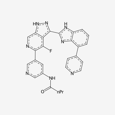 CCCC(=O)Nc1cncc(-c2ncc3[nH]nc(-c4nc5c(-c6ccncc6)cccc5[nH]4)c3c2F)c1